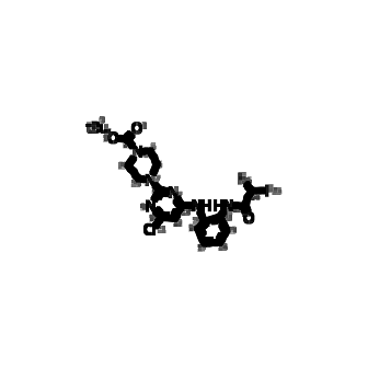 CC(C)(C)OC(=O)N1CCN(c2nc(Cl)cc(Nc3ccccc3NC(=O)C(F)F)n2)CC1